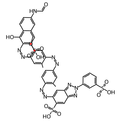 COc1cc(/N=N\c2ccc(/N=N\c3cc4nn(-c5cccc(S(=O)(=O)O)c5)nc4cc3S(=O)(=O)O)c(C)c2)c(C)cc1/N=N\c1c(S(=O)(=O)O)cc2cc(NC=O)ccc2c1O